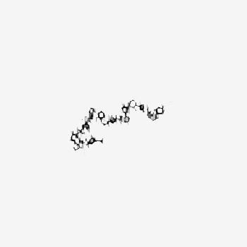 CC(C)(COc1cc(N2CCCN2C(=O)Nc2cc(C(C)(C)c3nc(N4CCCN4C(=O)Nc4cc(C5CC5)no4)ccc3C(F)(F)F)no2)ccc1C#N)c1cc(NC(=O)N2CCCN2c2ccc(C(F)(F)F)c(C3CCCC(c4cc(NC(=O)N5CCCN5c5ccc(C(F)(F)F)cc5)on4)C3)n2)on1